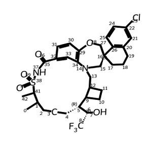 CC1CCC[C@@H]([C@H](O)C(F)(F)F)C2CCC2CN2C[C@@]3(CCCc4cc(Cl)ccc43)COc3ccc(cc32)C(=O)NS(=O)(=O)C1C